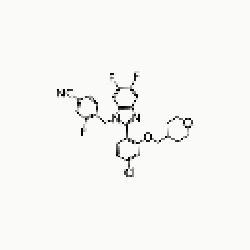 N#Cc1ccc(Cn2c(-c3ccc(Cl)cc3OCC3CCOCC3)nc3cc(F)c(F)cc32)c(F)c1